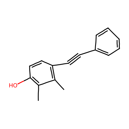 Cc1c(O)ccc(C#Cc2ccccc2)c1C